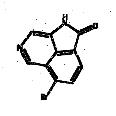 O=C1Nc2cncc3c(Br)ccc1c23